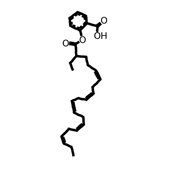 CC/C=C\C/C=C\C/C=C\C/C=C\C/C=C\CCC(CC)C(=O)Oc1ccccc1C(=O)O